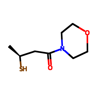 C[C@H](S)CC(=O)N1CCOCC1